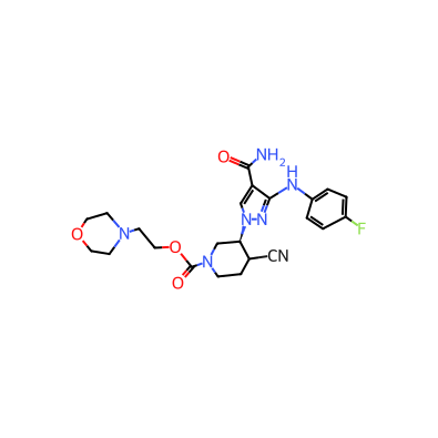 N#CC1CCN(C(=O)OCCN2CCOCC2)C[C@H]1n1cc(C(N)=O)c(Nc2ccc(F)cc2)n1